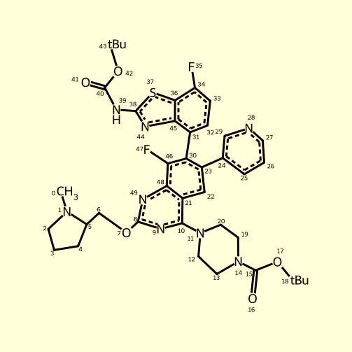 CN1CCCC1COc1nc(N2CCN(C(=O)OC(C)(C)C)CC2)c2cc(-c3cccnc3)c(-c3ccc(F)c4sc(NC(=O)OC(C)(C)C)nc34)c(F)c2n1